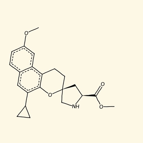 COC(=O)[C@@H]1C[C@@]2(CCc3c(c(C4CC4)cc4ccc(OC)cc34)O2)CN1